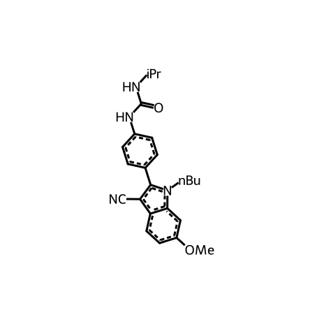 CCCCn1c(-c2ccc(NC(=O)NC(C)C)cc2)c(C#N)c2ccc(OC)cc21